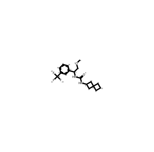 COCC(NC(=O)NC1CC2(CCC2)C1)c1cccc(C(F)(F)F)c1